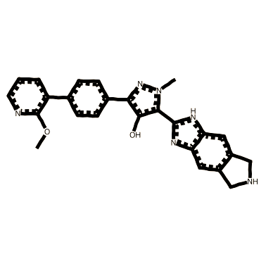 COc1ncccc1-c1ccc(-c2nn(C)c(-c3nc4cc5c(cc4[nH]3)CNC5)c2O)cc1